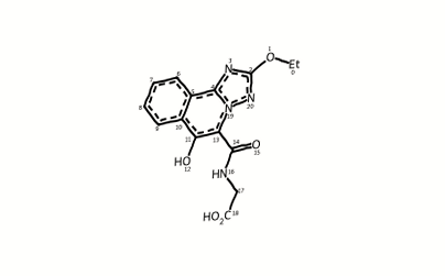 CCOc1nc2c3ccccc3c(O)c(C(=O)NCC(=O)O)n2n1